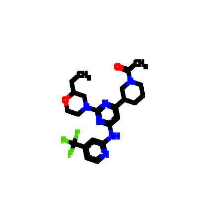 CCC1CN(c2nc(Nc3cc(C(F)(F)F)ccn3)cc(C3CCCN(C(C)=O)C3)n2)CCO1